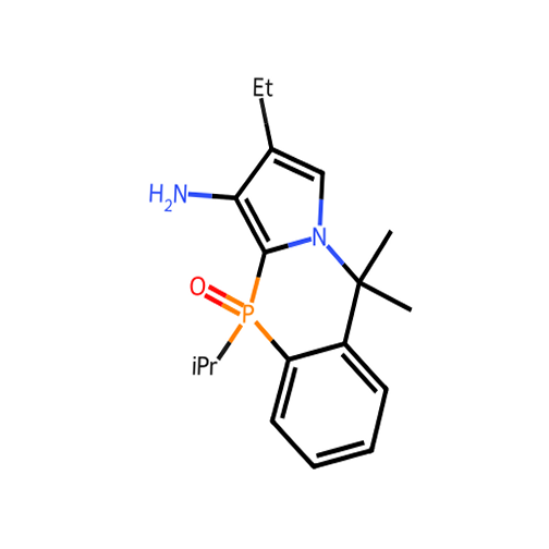 CCc1cn2c(c1N)P(=O)(C(C)C)c1ccccc1C2(C)C